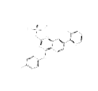 CCC(C)OP(=O)(O)Cc1nc(Nc2ccc(C(C)(C)C)cc2)c2ccc(-c3ncccc3C(F)(F)F)cc2n1